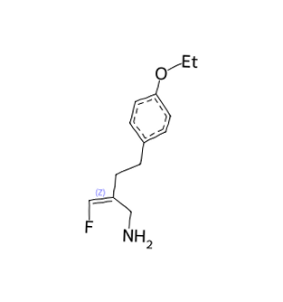 CCOc1ccc(CC/C(=C/F)CN)cc1